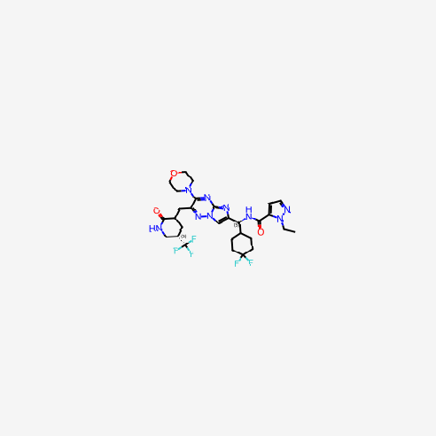 CCn1nccc1C(=O)N[C@H](c1cn2nc(CC3C[C@H](C(F)(F)F)CNC3=O)c(N3CCOCC3)nc2n1)C1CCC(F)(F)CC1